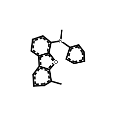 Cc1cccc2c1oc1c(N(C)c3ccccc3)cccc12